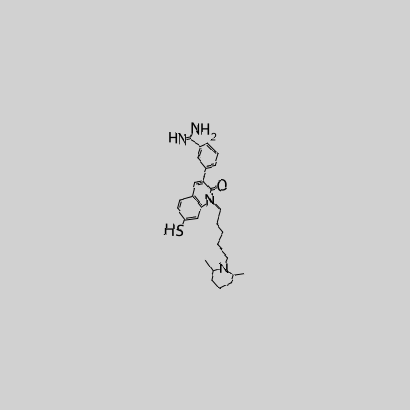 CC1CCCC(C)N1CCCCCn1c(=O)c(-c2cccc(C(=N)N)c2)cc2ccc(S)cc21